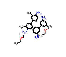 CCOCC.CCOCC.Cc1cc(-c2ccc(N)c(C)c2)ccc1N.Nc1cccc(-c2cccc(N)c2)c1